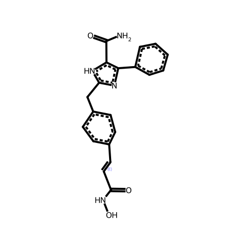 NC(=O)c1[nH]c(Cc2ccc(/C=C/C(=O)NO)cc2)nc1-c1ccccc1